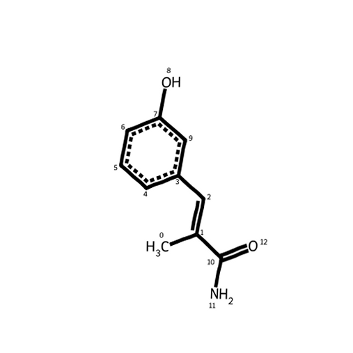 C/C(=C\c1cccc(O)c1)C(N)=O